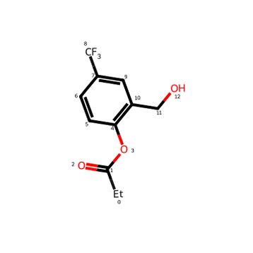 CCC(=O)Oc1ccc(C(F)(F)F)cc1CO